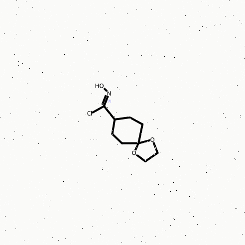 O/N=C(\Cl)C1CCC2(CC1)OCCO2